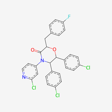 O=C1C(Cc2ccc(F)cc2)OC(c2ccc(Cl)cc2)C(c2ccc(Cl)cc2)N1c1ccnc(Cl)c1